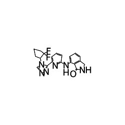 O=C1NCc2cccc(Nc3cccc(-c4nncn4C4CCCC4(F)F)n3)c21